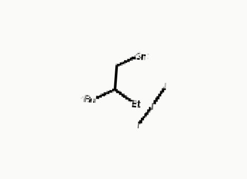 CCCCC(CC)[CH2][Sn].I[I-]I